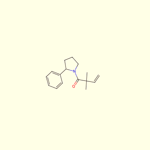 C=CC(C)(C)C(=O)N1CCCC1c1ccccc1